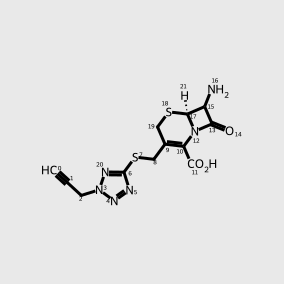 C#CCn1nnc(SCC2=C(C(=O)O)N3C(=O)C(N)[C@@H]3SC2)n1